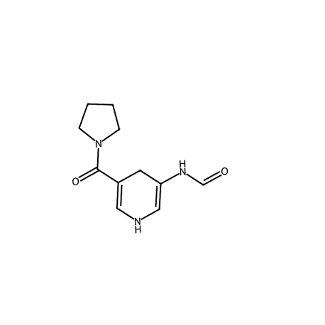 O=CNC1=CNC=C(C(=O)N2CCCC2)C1